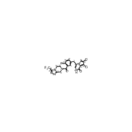 O=C(c1cc(Cc2c[nH]c(=O)c3c(Cl)c(Cl)cn23)ccc1F)N1CCn2c(nnc2C(F)(F)F)C1